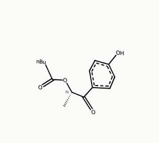 CCCCC(=O)O[C@@H](C)C(=O)c1ccc(O)cc1